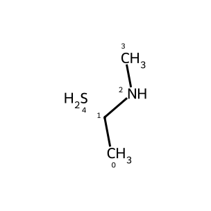 CCNC.S